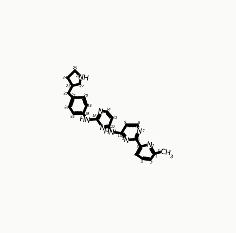 Cc1cccc(-c2nccc(Nc3ccnc(Nc4ccc(CC5CCNC5)cc4)n3)n2)n1